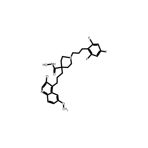 COc1ccc2ncc(Cl)c(CCCC3(C(=O)NO)CCN(CCCc4c(F)cc(F)cc4F)CC3)c2c1